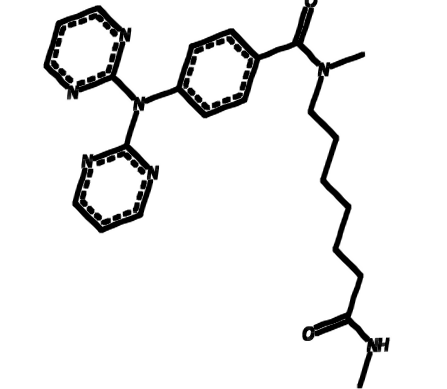 CNC(=O)CCCCCCN(C)C(=O)c1ccc(N(c2ncccn2)c2ncccn2)cc1